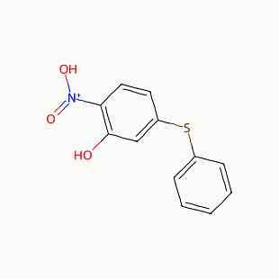 O=[N+](O)c1ccc(Sc2ccccc2)cc1O